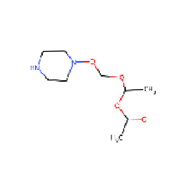 CC([O])OC(C)OCON1CCNCC1